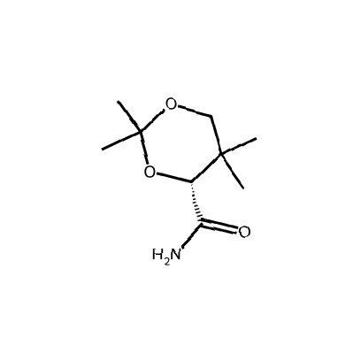 CC1(C)OCC(C)(C)[C@H](C(N)=O)O1